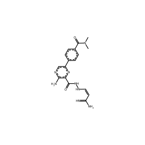 CN(C)C(=O)c1ccc(-c2cnc(N)c(C(=O)NN/C=C\C(=N)N)n2)cc1